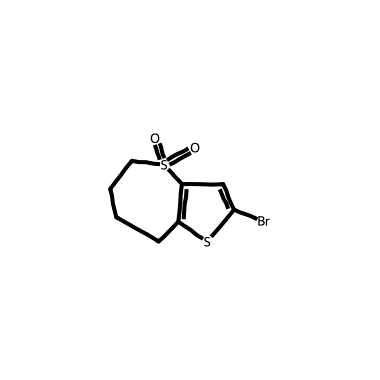 O=S1(=O)CCCCc2sc(Br)cc21